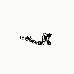 Cc1cc(C)c(C2=C(OCc3ccccc3)[C@]3(CC[C@H](OC4CCN(CCOCCOCC(=O)OC(C)(C)C)CC4)CC3)OC2O)c(C)c1